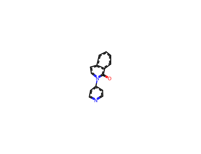 O=c1c2ccccc2ccn1-c1ccncc1